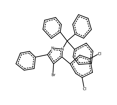 Clc1cc(Cl)cc(-c2c(Br)c(-c3ccccc3)nn2C(c2ccccc2)(c2ccccc2)c2ccccc2)c1